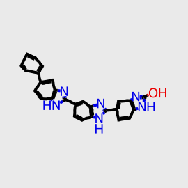 Oc1nc2cc(-c3nc4cc(-c5nc6cc(-c7ccccc7)ccc6[nH]5)ccc4[nH]3)ccc2[nH]1